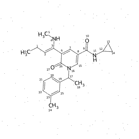 CC/C=C(\NC)c1cc(C(=O)NC2CC2)cn(C(C)c2cccc(C)c2)c1=O